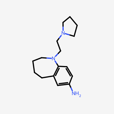 Nc1ccc2c(c1)CCCCN2CCN1CCCC1